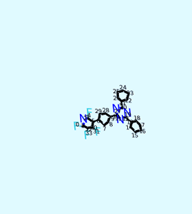 Fc1nc(F)c(-c2ccc(-c3nc(-c4ccccc4)nc(-c4ccccc4)n3)cc2)c(F)c1F